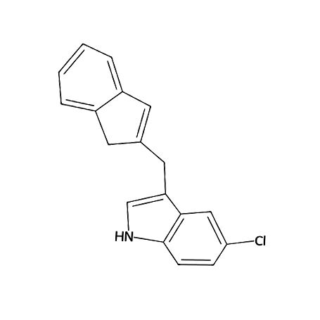 Clc1ccc2[nH]cc(CC3=Cc4ccccc4C3)c2c1